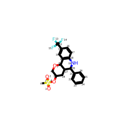 CS(=O)(=O)OC1COC2c3cc(C(F)(F)F)ccc3NC(c3ccccc3)C2C1